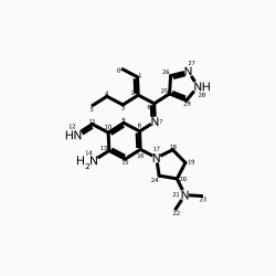 C/C=C(CCC)/C(=N\c1cc(C=N)c(N)cc1N1CCC(N(C)C)C1)c1cn[nH]c1